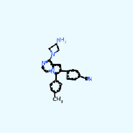 Cc1ccc(-c2c(-c3ccc(C#N)cc3)cc3c(N4CC(N)C4)nccn23)cc1